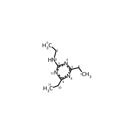 CCNc1nc(CC)nc(CC)n1